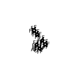 Fc1cc(-c2c(F)c(F)c(F)c(F)c2F)c(F)c(F)c1F.Fc1cc(-c2c(F)c(F)c(F)c(F)c2F)c(F)c(F)c1F.Fc1cc(-c2c(F)c(F)c(F)c(F)c2F)c(F)c(F)c1F.[O]=[Al][F]